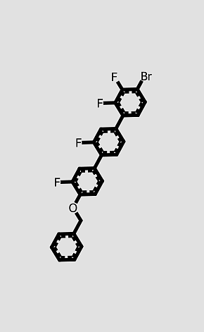 Fc1cc(-c2ccc(-c3ccc(Br)c(F)c3F)cc2F)ccc1OCc1ccccc1